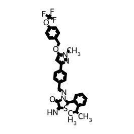 CC(C)c1ccccc1C1SC(=N)C(=O)N1/N=C/c1ccc(-c2cc(OCc3ccc(OC(F)(F)F)cc3)n(C)n2)cc1